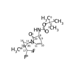 CC(C)(C)OC(=O)Nc1cccn([C@@H]2C[C@]2(C)C(F)F)c1=O